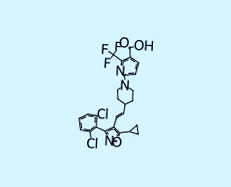 O=C(O)c1ccc(N2CCC(C=Cc3c(-c4c(Cl)cccc4Cl)noc3C3CC3)CC2)nc1C(F)(F)F